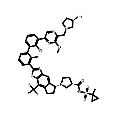 COc1nc(-c2cccc(-c3cccc(-c4nc5cc6c(c(C(F)(F)F)c5o4)CC[C@H]6N4CC[C@@H](C(=O)NS(=O)(=O)C5(C)CC5)C4)c3C)c2Cl)cnc1CN1CC[C@@H](O)C1